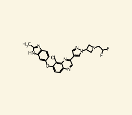 Cc1nc2ccc(Oc3ccc4ncc(-c5cnn(C6CN(CC(F)F)C6)c5)nc4c3Cl)cc2[nH]1